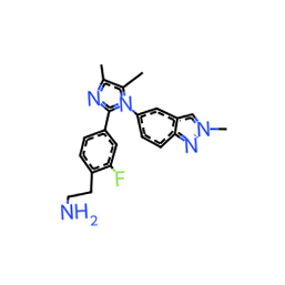 Cc1nc(-c2ccc(CCN)c(F)c2)n(-c2ccc3nn(C)cc3c2)c1C